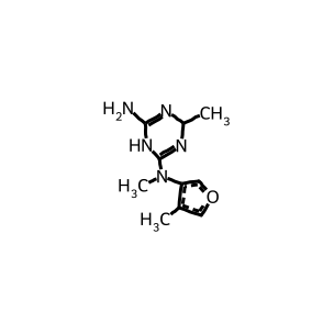 Cc1cocc1N(C)C1=NC(C)N=C(N)N1